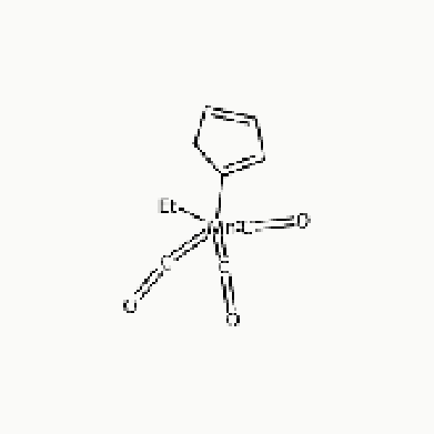 C[CH2][Mn](=[C]=O)(=[C]=O)(=[C]=O)[C]1=CC=CC1